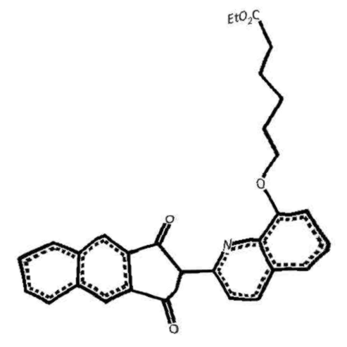 CCOC(=O)CCCCCOc1cccc2ccc(C3C(=O)c4cc5ccccc5cc4C3=O)nc12